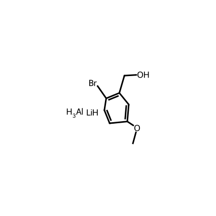 COc1ccc(Br)c(CO)c1.[AlH3].[LiH]